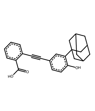 O=C(O)c1ccccc1C#Cc1ccc(O)c(C23CC4CC(CC(C4)C2)C3)c1